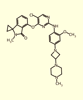 COc1cc(N2CC(N3CCN(C)CC3)C2)ccc1Nc1ncc(Cl)c(Oc2cccc3c2C(=O)N(C)C32CC2)n1